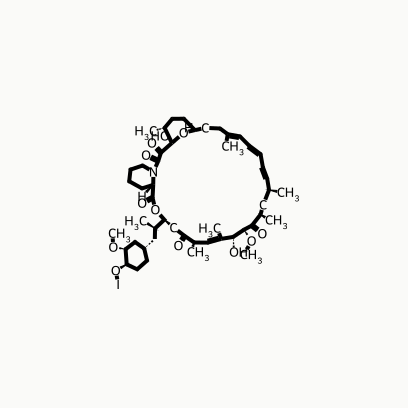 CO[C@@H]1C[C@H](C[C@@H](C)[C@@H]2CC(=O)[C@H](C)/C=C(\C)[C@@H](O)[C@@H](OC)C(=O)[C@H](C)C[C@H](C)/C=C/C=C/C=C(\C)CC[C@@H]3CC[C@@H](C)[C@@](O)(O3)C(=O)C(=O)N3CCCC[C@H]3C(=O)O2)CC[C@H]1OI